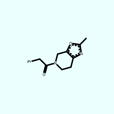 Cc1nc2c(o1)CN(C(=O)CC(C)C)CC2